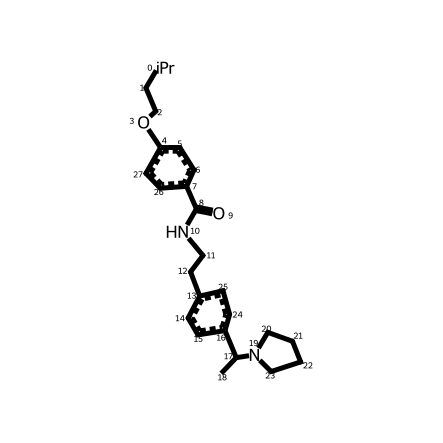 CC(C)CCOc1ccc(C(=O)NCCc2ccc(C(C)N3CCCC3)cc2)cc1